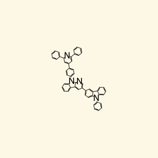 c1ccc(-c2cc(-c3ccc(-n4c5ccccc5c5cc(-c6ccc7c(c6)c6ccccc6n7-c6ccccc6)cnc54)cc3)cc(-c3ccccc3)n2)cc1